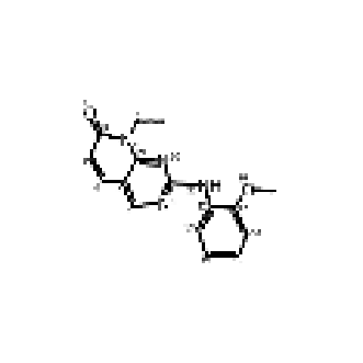 CCn1c(=O)ccc2cnc(Nc3ccccc3OC)nc21